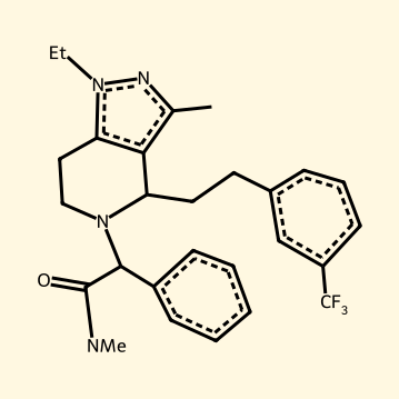 CCn1nc(C)c2c1CCN(C(C(=O)NC)c1ccccc1)C2CCc1cccc(C(F)(F)F)c1